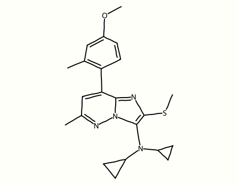 COc1ccc(-c2cc(C)nn3c(N(C4CC4)C4CC4)c(SC)nc23)c(C)c1